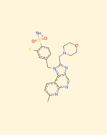 Cc1ccc2c(ncc3nc(CN4CCOCC4)n(Cc4ccc(S(N)(=O)=O)c(F)c4)c32)n1